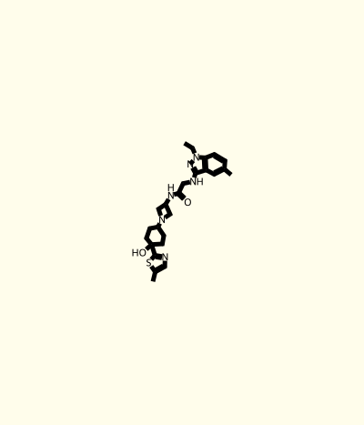 CCn1nc(NCC(=O)NC2CN(C3CCC(O)(c4ncc(C)s4)CC3)C2)c2cc(C)ccc21